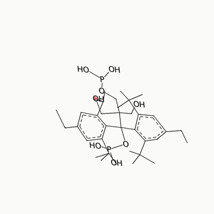 CCc1cc(C(C)(C)C)c(C(OP(O)O)(c2c(C(C)(C)C)cc(CC)cc2C(C)(C)C)C(CO)(CO)COP(O)O)c(C(C)(C)C)c1